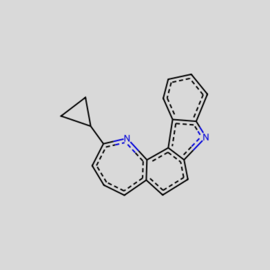 c1cc(C2CC2)nc2c(c1)ccc1nc3ccccc3c12